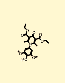 CCOC(=O)c1c(C)n(-c2cc(OC)c(O)c(OC)c2)c(C)c(C(=O)OCC)c1=O